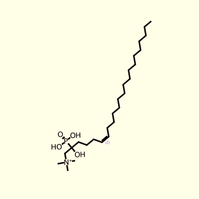 CCCCCCCCCCCCCCCC/C=C\CCCC(O)(C[N+](C)(C)C)P(=O)(O)O